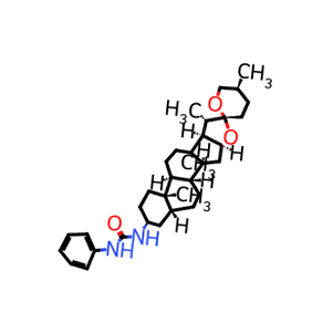 C[C@H]1CC[C@@]2(OC1)O[C@H]1C[C@H]3[C@@H]4CC[C@@H]5C[C@@H](NC(=O)Nc6ccccc6)CC[C@]5(C)[C@H]4CC[C@]3(C)[C@H]1[C@@H]2C